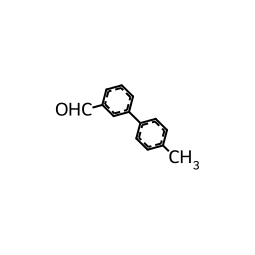 Cc1ccc(-c2cccc(C=O)c2)cc1